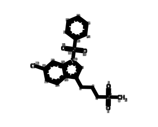 CS(=O)(=O)CCCc1[c]n(S(=O)(=O)c2ccccc2)c2cc(Cl)ccc12